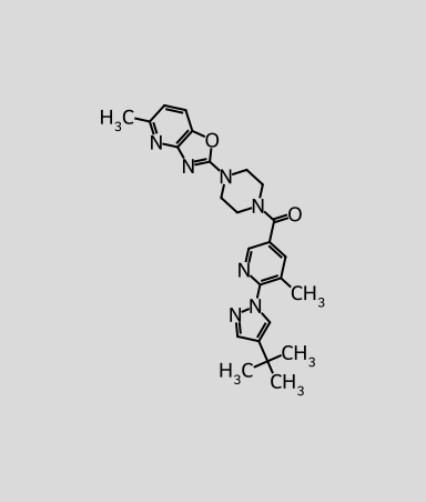 Cc1ccc2oc(N3CCN(C(=O)c4cnc(-n5cc(C(C)(C)C)cn5)c(C)c4)CC3)nc2n1